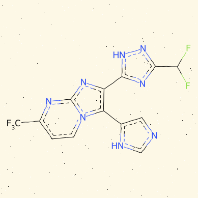 FC(F)c1n[nH]c(-c2nc3nc(C(F)(F)F)ccn3c2-c2cnc[nH]2)n1